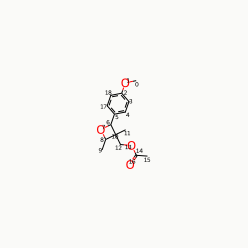 COc1ccc(C2OC(C)C2(C)COC(C)=O)cc1